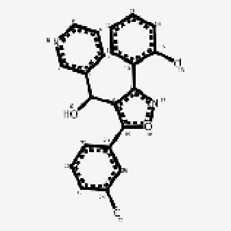 OC(c1cccnc1)c1c(-c2ccccc2Cl)noc1-c1cccc(Cl)c1